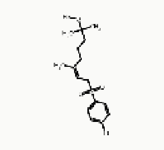 CCOC(C)(C)CCCC(C)=CCS(=O)(=O)c1ccc(CC)cc1